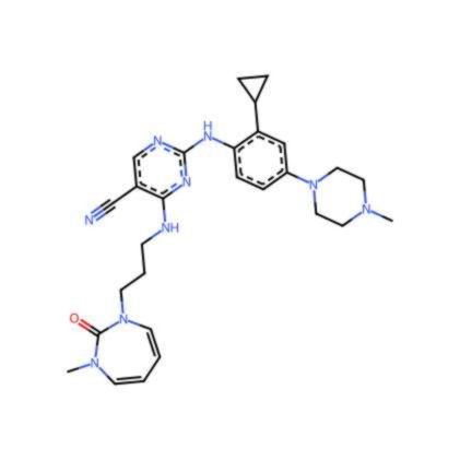 CN1CCN(c2ccc(Nc3ncc(C#N)c(NCCCN4C=CC=CN(C)C4=O)n3)c(C3CC3)c2)CC1